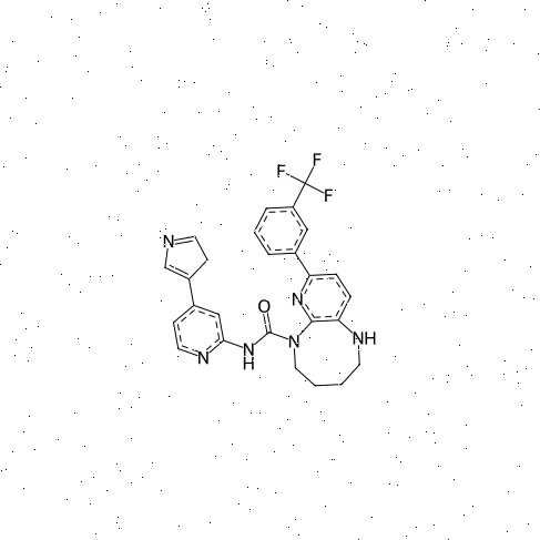 O=C(Nc1cc(C2=CN=CC2)ccn1)N1CCCCNc2ccc(-c3cccc(C(F)(F)F)c3)nc21